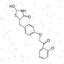 O=C(COc1ccc(CC2SC(O)NC2=O)cc1)c1ccccc1Cl